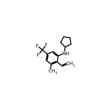 C=Cc1c(C)cc(C(F)(F)F)cc1NC1CCCC1